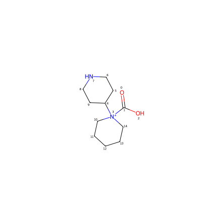 O=C(O)[N+]1(C2CCNCC2)CCCCC1